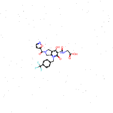 O=C(O)CNC(=O)c1c(O)c2c(n(Cc3ccc(C(F)(F)F)cc3)c1=O)CN(C(=O)c1ccno1)C2